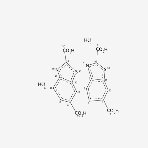 Cl.Cl.O=C(O)c1ccc2nc(C(=O)O)sc2c1.O=C(O)c1ccc2nc(C(=O)O)sc2c1